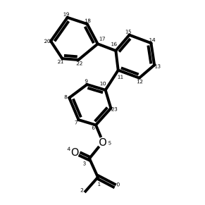 C=C(C)C(=O)Oc1cccc(-c2ccccc2-c2ccccc2)c1